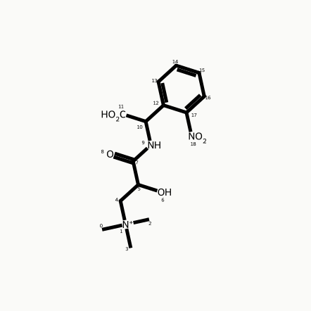 C[N+](C)(C)CC(O)C(=O)NC(C(=O)O)c1ccccc1[N+](=O)[O-]